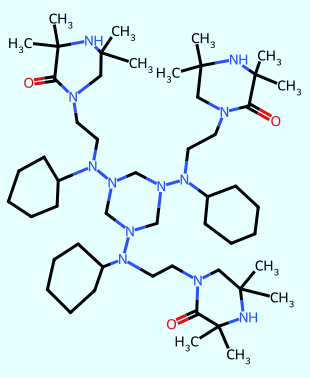 CC1(C)CN(CCN(C2CCCCC2)N2CN(N(CCN3CC(C)(C)NC(C)(C)C3=O)C3CCCCC3)CN(N(CCN3CC(C)(C)NC(C)(C)C3=O)C3CCCCC3)C2)C(=O)C(C)(C)N1